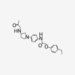 CCc1ccc(OCC(=O)Nc2ccc(N3CCC(NCC(C)=O)C3)cc2)cc1